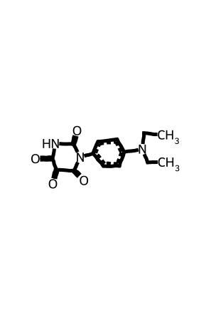 CCN(CC)c1ccc(N2C(=O)NC(=O)C(=O)C2=O)cc1